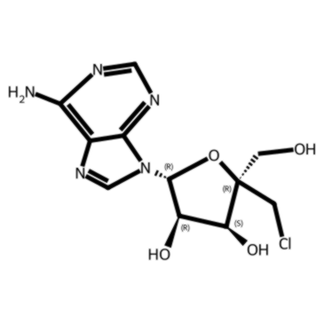 Nc1ncnc2c1ncn2[C@@H]1O[C@@](CO)(CCl)[C@@H](O)[C@H]1O